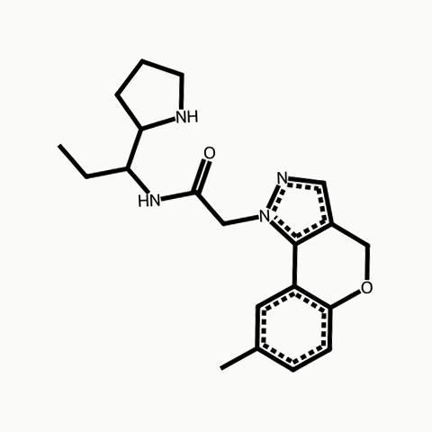 CCC(NC(=O)Cn1ncc2c1-c1cc(C)ccc1OC2)C1CCCN1